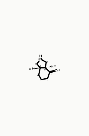 O=C1CCC[C@@H]2CNC[C@@H]12